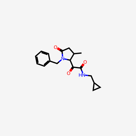 CC1CC(=O)N(Cc2ccccc2)C1C(=O)C(=O)NCC1CC1